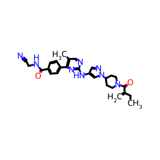 C=C(CC)C(=O)N1CCC(n2cc(Nc3ncc(C)c(-c4ccc(C(=O)NCC#N)cc4)n3)cn2)CC1